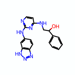 OC(CNc1ccnc(Nc2ccc3nn[nH]c3c2)n1)c1ccccc1